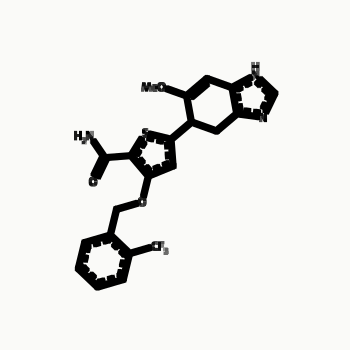 COC1=Cc2[nH]cnc2CC1c1cc(OCc2ccccc2C(F)(F)F)c(C(N)=O)s1